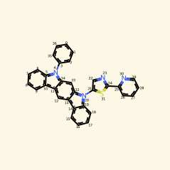 c1ccc(-n2c3ccccc3c3cc4c5ccccc5n(-c5cnc(-c6ccccn6)s5)c4cc32)cc1